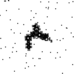 CS(=O)(=O)Nc1ccc(-n2cc(-c3cccc(N4CC5(CCC5)C4)n3)nn2)c(N2CCC3(CC2)CC3)c1